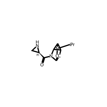 CC(C)N1CC2CC3C1C3N2C(=O)[C@H]1CN1